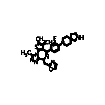 Cc1sc2c(c1C)C(c1ccc(N3CCC4(CCNC4)CC3)c(F)c1)=NC(Cc1ncco1)c1nnc(C)n1-2